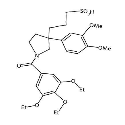 CCOc1cc(C(=O)N2CCC(CCCS(=O)(=O)O)(c3ccc(OC)c(OC)c3)C2)cc(OCC)c1OCC